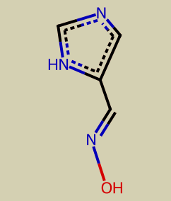 ON=Cc1cnc[nH]1